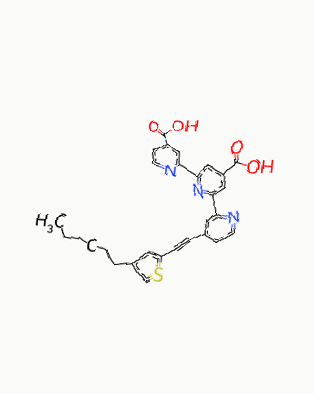 CCCCCCc1csc(C#Cc2ccnc(-c3cc(C(=O)O)cc(-c4cc(C(=O)O)ccn4)n3)c2)c1